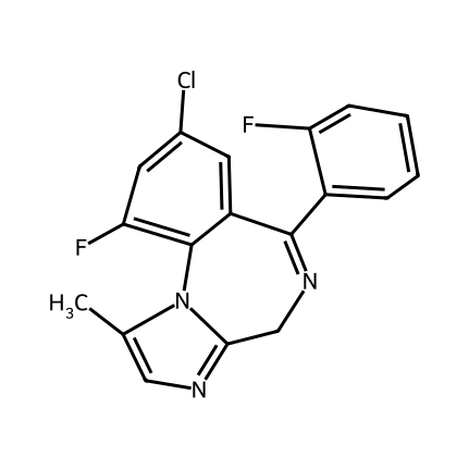 Cc1cnc2n1-c1c(F)cc(Cl)cc1C(c1ccccc1F)=NC2